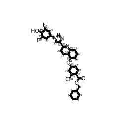 O=C(OCc1ccccc1)c1ccc(Oc2cccc3nc(-c4cn(-c5cc(F)c(O)c(F)c5)nn4)ccc23)cc1Cl